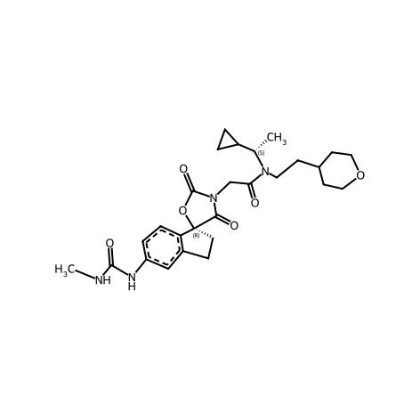 CNC(=O)Nc1ccc2c(c1)CC[C@@]21OC(=O)N(CC(=O)N(CCC2CCOCC2)[C@@H](C)C2CC2)C1=O